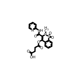 CN1C(C(=O)Nc2ccccn2)=C(OC(=O)CCC(=O)O)c2ccccc2S1(=O)=O